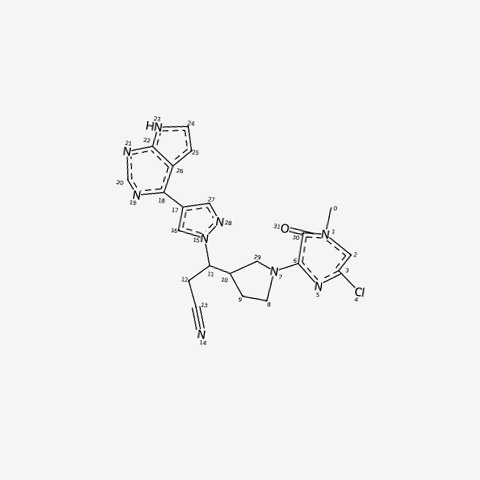 Cn1cc(Cl)nc(N2CCC(C(CC#N)n3cc(-c4ncnc5[nH]ccc45)cn3)C2)c1=O